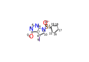 COc1ncnc2c1c(I)cn2[S+]([O-])c1ccccc1